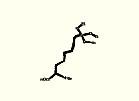 CCCCCCCCC(CCCCCC)CSCCC[Si](OCC)(OCC)OCC